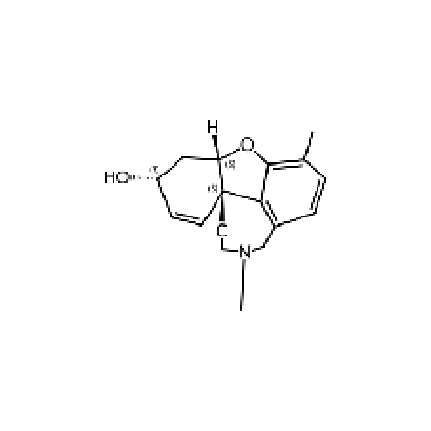 Cc1ccc2c3c1O[C@H]1C[C@@H](O)C=C[C@@]31CCN(C)C2